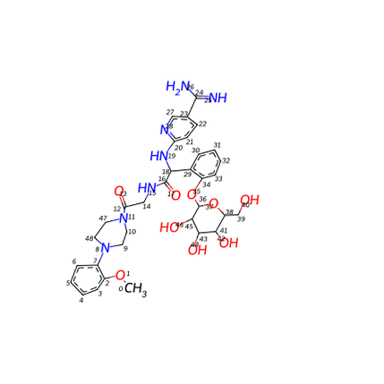 COc1ccccc1N1CCN(C(=O)CNC(=O)C(Nc2ccc(C(=N)N)cn2)c2ccccc2OC2OC(CO)C(O)C(O)C2O)CC1